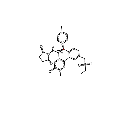 CC[C@H](NN1C(=O)CCC1=O)c1cc(=O)n(C)cc1-c1cc(CS(=O)(=O)CC)ccc1C(=O)c1ccc(C)cc1